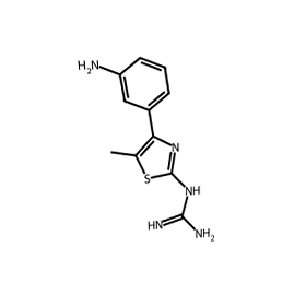 Cc1sc(NC(=N)N)nc1-c1cccc(N)c1